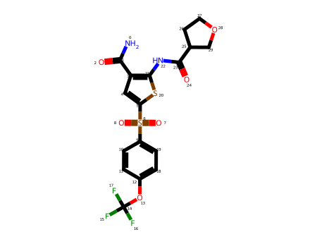 NC(=O)c1cc(S(=O)(=O)c2ccc(OC(F)(F)F)cc2)sc1NC(=O)C1CCOC1